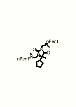 CCCCCN(C)CN1C(=O)N(CN(C)CCCCC)C(C)(C2CCCC2)C1=O